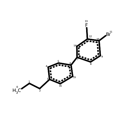 CCCc1ccc(-c2ccc(Br)c(F)c2)cc1